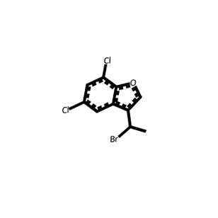 CC(Br)c1coc2c(Cl)cc(Cl)cc12